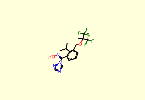 CC(C)c1c(COC(C)(C(F)(F)F)C(F)(F)F)cccc1C(=NO)n1cncn1